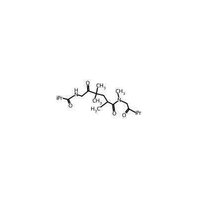 CC(C)C(=O)CN(C)C(=O)C(C)CC(C)(C)C(=O)CNC(=O)C(C)C